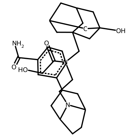 NC(=O)c1cccc(C2CC3CCC(C2)N3CCN(CC23CC4CC(CC(O)(C4)C2)C3)C(=O)CO)c1